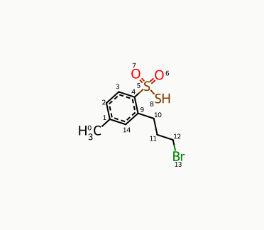 Cc1ccc(S(=O)(=O)S)c(CCCBr)c1